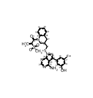 C=C(C(=O)N1CC(CSn2nc(-c3cc(O)cc(F)c3)c3c(N)ncnc32)Cc2ccccc21)S(C)(=O)=O